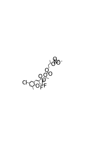 Cc1cc(Cl)cc2c1OC(C(F)(F)F)C(C(=O)OC(C)OC(=O)OCCC(C)O[N+](=O)[O-])=C2